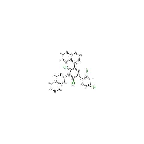 Fc1ccc(-c2cc(-c3cccc4ccccc34)c(Cl)c(-c3ccc4ccccc4c3)c2Cl)c(F)c1